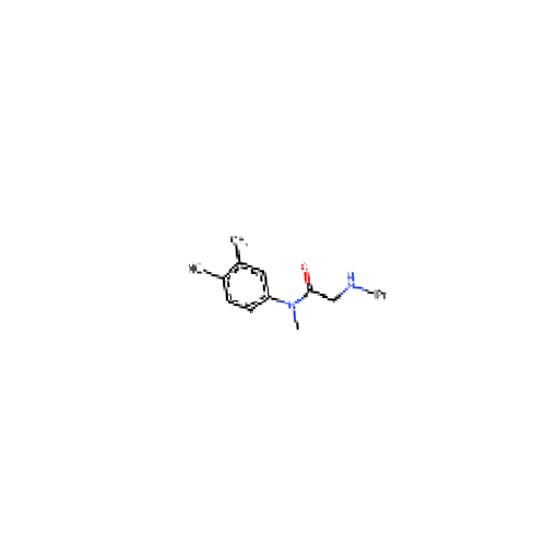 CC(C)NCC(=O)N(C)c1ccc(C#N)c(C(F)(F)F)c1